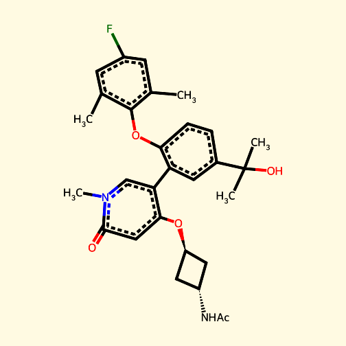 CC(=O)N[C@H]1C[C@H](Oc2cc(=O)n(C)cc2-c2cc(C(C)(C)O)ccc2Oc2c(C)cc(F)cc2C)C1